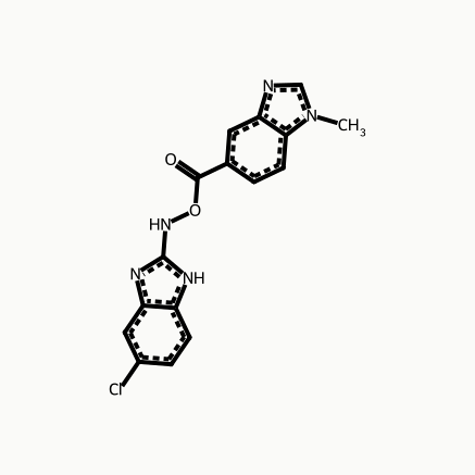 Cn1cnc2cc(C(=O)ONc3nc4cc(Cl)ccc4[nH]3)ccc21